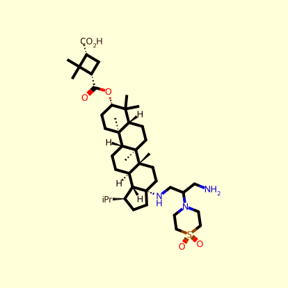 CC(C)[C@@H]1CC[C@]2(NCC(CN)N3CCS(=O)(=O)CC3)CC[C@]3(C)[C@H](CC[C@@H]4[C@@]5(C)CC[C@H](OC(=O)[C@H]6C[C@@H](C(=O)O)C6(C)C)C(C)(C)[C@@H]5CC[C@]43C)[C@@H]12